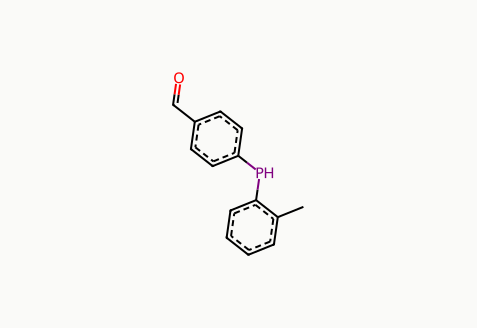 Cc1ccccc1Pc1ccc(C=O)cc1